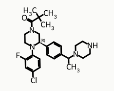 CC(c1ccc([C@@H]2CN(C(=O)C(C)(C)C)CCN2c2ccc(Cl)cc2F)cc1)N1CCNCC1